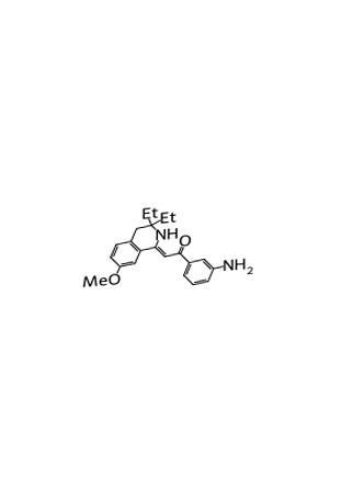 CCC1(CC)Cc2ccc(OC)cc2C(=CC(=O)c2cccc(N)c2)N1